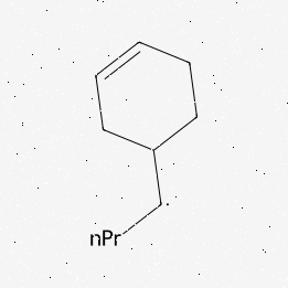 CCC[CH]C1CC=CCC1